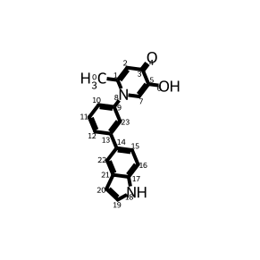 Cc1cc(=O)c(O)cn1-c1cccc(-c2ccc3[nH]ccc3c2)c1